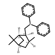 C[C@H]1C[C@@H]2C[C@H]([C@H]1CP(c1ccccc1)c1ccccc1)C2(C)C